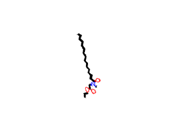 CCCCCCCCCCCCCCCC(=O)N(C)CC(=O)OCCC